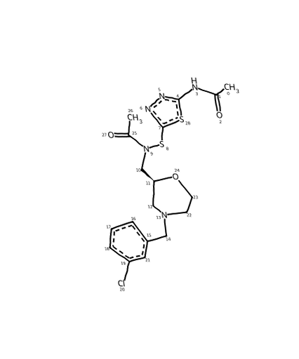 CC(=O)Nc1nnc(SN(C[C@@H]2CN(Cc3cccc(Cl)c3)CCO2)C(C)=O)s1